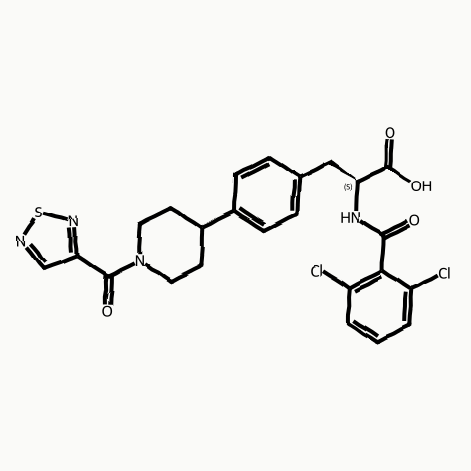 O=C(N[C@@H](Cc1ccc(C2CCN(C(=O)c3cnsn3)CC2)cc1)C(=O)O)c1c(Cl)cccc1Cl